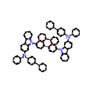 c1ccc(Cc2cc(-n3c4ccccc4c4ccc(N(c5ccccc5)c5ccc(-c6ccccc6)cc5)cc43)ccc2-c2ccc(-n3c4ccccc4c4ccc(N(c5ccccc5)c5ccc(-c6ccccc6)cc5)cc43)cc2Cc2ccccc2)cc1